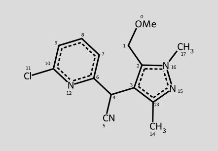 COCc1c(C(C#N)c2cccc(Cl)n2)c(C)nn1C